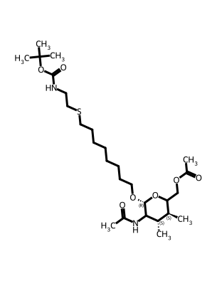 CC(=O)NC1[C@H](OCCCCCCCCSCCNC(=O)OC(C)(C)C)OC(COC(C)=O)[C@@H](C)[C@@H]1C